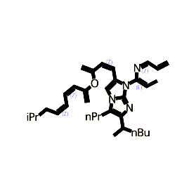 C=C/C=N\C(=C/C)n1c(/C=C\C(=C)OC(=C)/C=C\C=C/CC(C)C)cn2c(CCC)c(C(C)CCCC)nc12